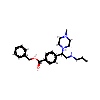 CCCNCC(c1ccc(C(=O)OCc2ccccc2)cc1)N1CCN(C)CC1